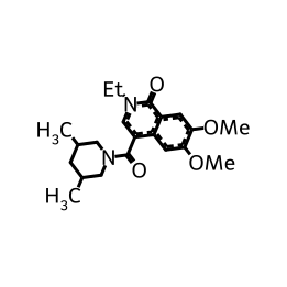 CCn1cc(C(=O)N2CC(C)CC(C)C2)c2cc(OC)c(OC)cc2c1=O